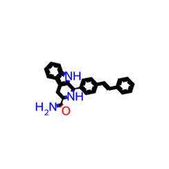 NC(=O)[C@H]1Cc2c([nH]c3ccccc23)[C@@H](c2ccc(/C=C/c3ccccc3)cc2)N1